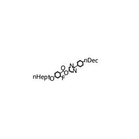 CCCCCCCCCCc1ccc(-c2ncc(OC(=O)c3ccc(OCCCCCCC)cc3F)cn2)cc1